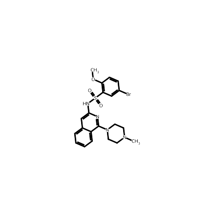 COc1ccc(Br)cc1S(=O)(=O)Nc1cc2ccccc2c(N2CCN(C)CC2)n1